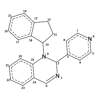 C1=NC(c2ccncc2)N(C2CCc3ccccc32)c2ccccc21